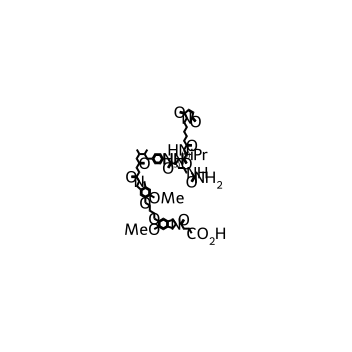 COc1cc2c(cc1OCCCOc1cc3c(cc1OC)CN(C(=O)CCC(=O)CC(C)C(C)Cc1ccc(NC(=O)[C@H](CCCNC(N)=O)NC(=O)[C@@H](NC(=O)CCCCCN4C(=O)C=CC4=O)C(C)C)cc1)C3)CN(C(=O)CCC(=O)O)C2